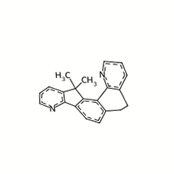 CC1(C)c2cccnc2-c2ccc3c(c21)-c1ncccc1CC3